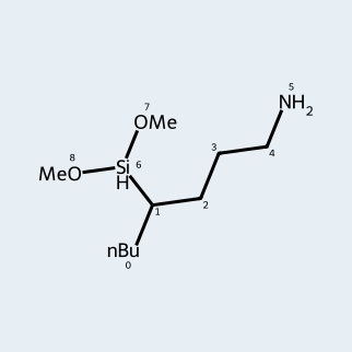 CCCCC(CCCN)[SiH](OC)OC